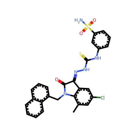 Cc1cc(Cl)cc2c1N(Cc1cccc3ccccc13)C(=O)C2=NNC(=S)Nc1cccc(S(N)(=O)=O)c1